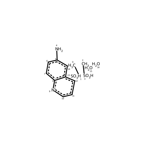 CS(=O)(=O)O.CS(=O)(=O)O.Nc1ccc2ncccc2c1.O.O